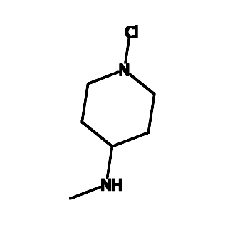 CNC1CCN(Cl)CC1